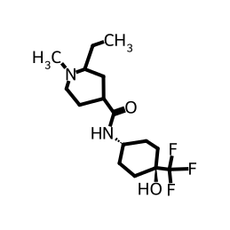 CCC1CC(C(=O)N[C@H]2CC[C@@](O)(C(F)(F)F)CC2)CCN1C